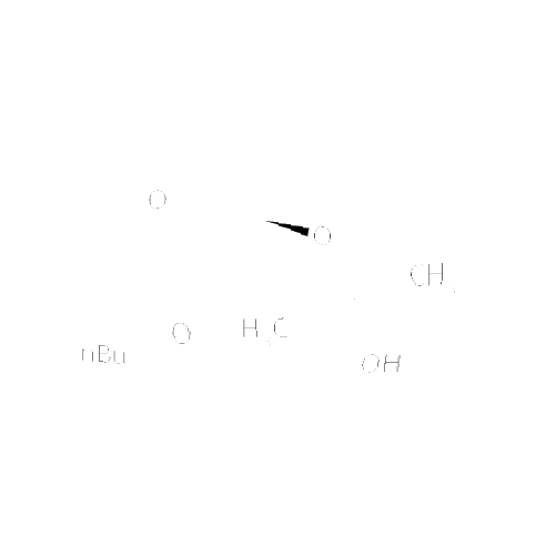 CCCCOC1OC[C@H]1OC(C)(C)O